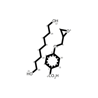 O=C(O)c1ccc(OCC2CO2)cc1.OCCCCCCCCO